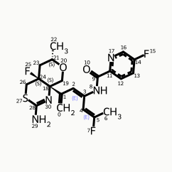 C=C(/C=C(\C=C(/C)F)NC(=O)c1ccc(F)cn1)[C@]12CO[C@@H](C)C[C@@]1(F)CSC(N)=N2